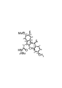 CCCCNC(=O)Cc1c(C)n(C(=S)c2ccc(C)cc2)c2cc(F)c(OC)cc12